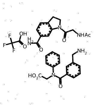 CC(=O)NCC(=O)N1CCc2ccc(C(N)=O)cc21.NCc1cccc(C(=O)N(CC(=O)O)c2ccccc2)c1.O=C(O)C(F)(F)F